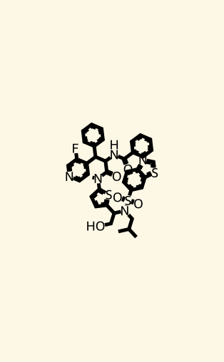 CC(C)CN(C(CO)c1ccc(N(C)C(=O)C(NC(=O)c2ccccc2)C(c2ccccc2)c2ccncc2F)s1)S(=O)(=O)c1ccc2ncsc2c1